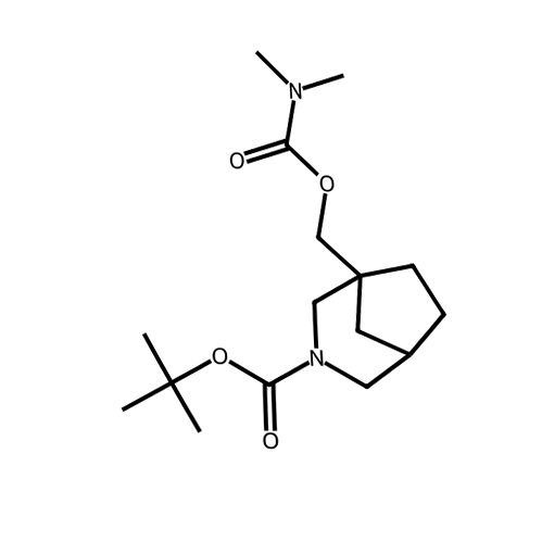 CN(C)C(=O)OCC12CCC(CN(C(=O)OC(C)(C)C)C1)C2